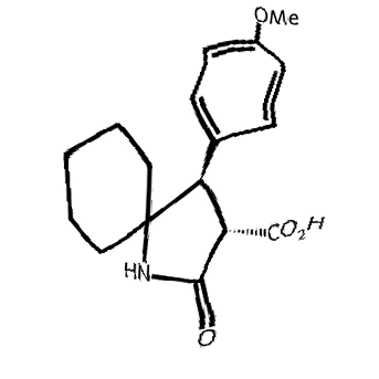 COc1ccc([C@H]2[C@H](C(=O)O)C(=O)NC23CCCCC3)cc1